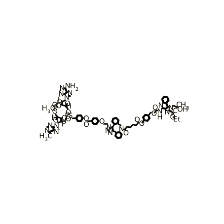 CCOCc1nc2c(NC(=O)OCc3ccc(OC(=O)CCCCC(=O)N4Cc5ccccc5-c5c(nnn5CCOc5ccc(C(=O)Oc6ccc(CS[P@@]7(=O)OC[C@H]8O[C@@H](n9cnc%10c(N)ncnc%109)[C@H](F)[C@@H]8O[P@](C)(=O)OC[C@H]8O[C@@H](n9cnc%10c(C)ncnc%109)[C@H](F)[C@@H]8O7)cc6)cc5)-c5ccccc54)cc3)nc3ccccc3c2n1CC(C)(C)O